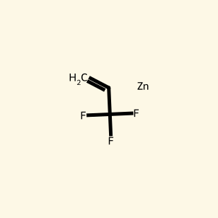 C=CC(F)(F)F.[Zn]